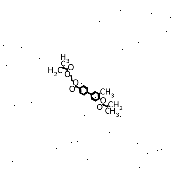 C=C(C)C(=O)OCCOC(=O)c1ccc(-c2ccc(OC(=O)C(=C)C)c(C)c2)cc1